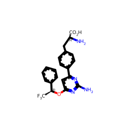 Nc1nc(O[C@H](c2ccccc2)C(F)(F)F)cc(-c2ccc(C[C@H](N)C(=O)O)cc2)n1